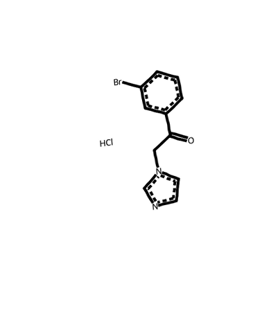 Cl.O=C(Cn1ccnc1)c1cccc(Br)c1